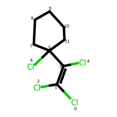 ClC(Cl)=C(Cl)C1(Cl)CCCCC1